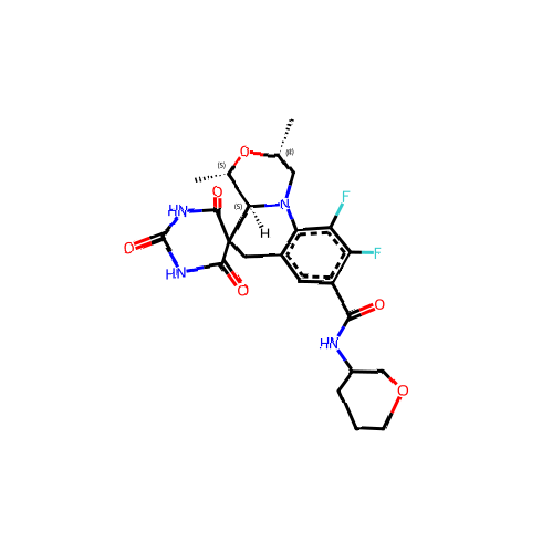 C[C@@H]1CN2c3c(cc(C(=O)NC4CCCOC4)c(F)c3F)CC3(C(=O)NC(=O)NC3=O)[C@H]2[C@H](C)O1